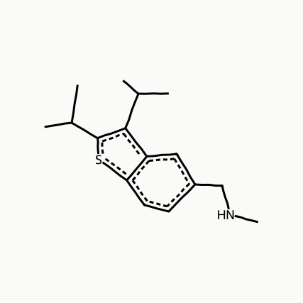 CNCc1ccc2sc(C(C)C)c(C(C)C)c2c1